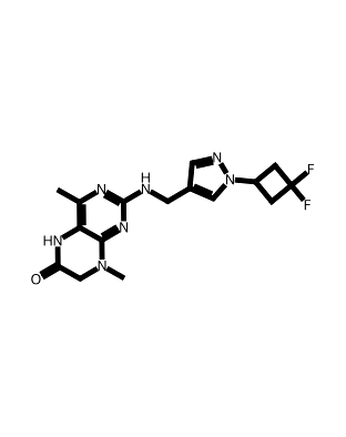 Cc1nc(NCc2cnn(C3CC(F)(F)C3)c2)nc2c1NC(=O)CN2C